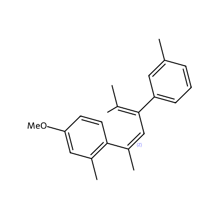 COc1ccc(/C(C)=C\C(=C(C)C)c2cccc(C)c2)c(C)c1